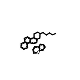 CCCCCC1CCc2c(ccc3c2ccc2ccccc23)C1.c1ccc2ncccc2c1